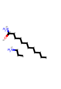 CCCCCCCCCCCC(N)=O.CCCN